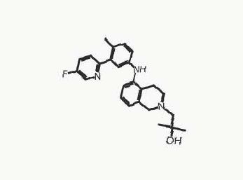 Cc1ccc(Nc2cccc3c2CCN(CC(C)(C)O)C3)cc1-c1ccc(F)cn1